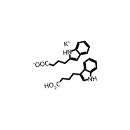 O=C(O)CCCc1c[nH]c2ccccc12.O=C([O-])CCCc1cc2ccccc2[nH]1.[K+]